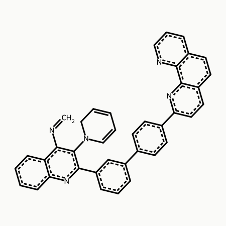 C=Nc1c(N2C=CC=CC2)c(-c2cccc(-c3ccc(-c4ccc5ccc6cccnc6c5n4)cc3)c2)nc2ccccc12